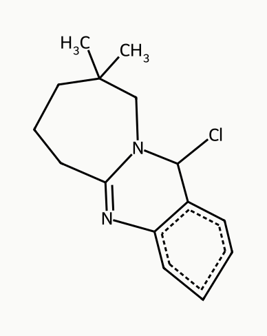 CC1(C)CCCC2=Nc3ccccc3C(Cl)N2C1